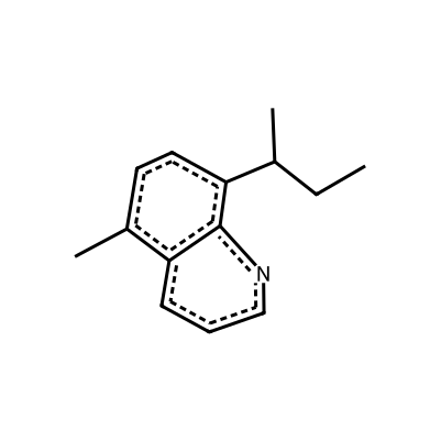 CCC(C)c1ccc(C)c2cccnc12